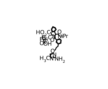 Cc1cc(OCCCc2ccc3c(c2)C(=O)N(C(C)CC(=O)O)C(c2ccccc2)C(=O)N3C(C)C)nc(N)n1.O=C(O)C(F)(F)F